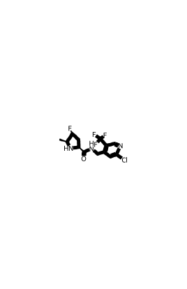 C[C@@H]1N[C@H](C(=O)NCc2cc(Cl)ncc2C(F)(F)F)C[C@H]1F